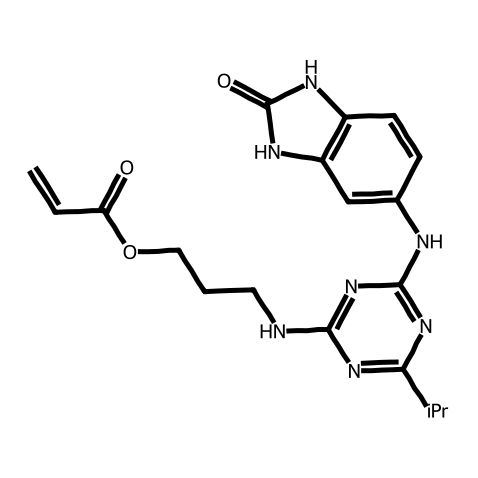 C=CC(=O)OCCCNc1nc(Nc2ccc3[nH]c(=O)[nH]c3c2)nc(C(C)C)n1